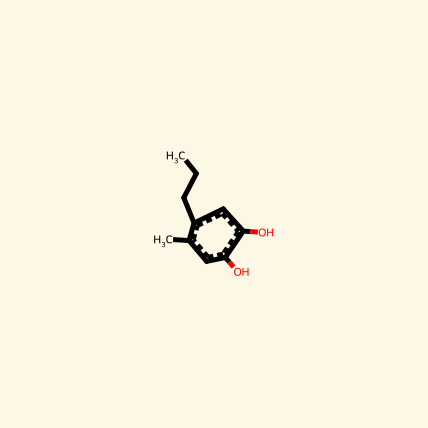 CCCc1cc(O)c(O)cc1C